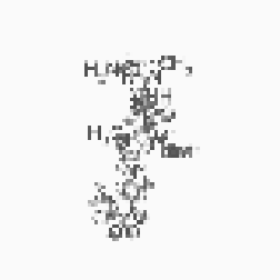 CON=C(C(=O)N[C@@H]1C(=O)N2C(C(=O)[O-])=C(CN(C)CC3CCN(c4cc5c(cc4F)c(=O)c(C(=O)[O-])c(Cl)n5C4CC4)C3)CS[C@H]12)c1csc(N)n1.[Na+].[Na+]